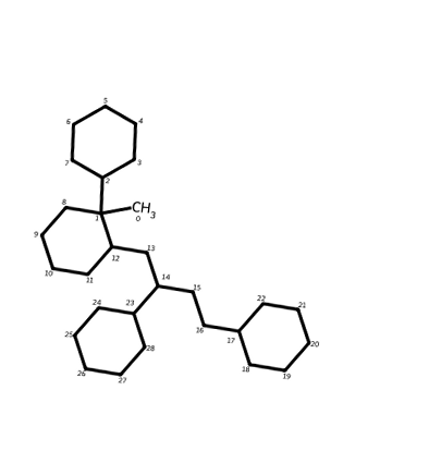 CC1(C2CCCCC2)CCCCC1CC(CCC1CCCCC1)C1CCCCC1